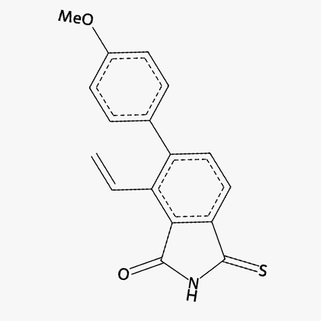 C=Cc1c(-c2ccc(OC)cc2)ccc2c1C(=O)NC2=S